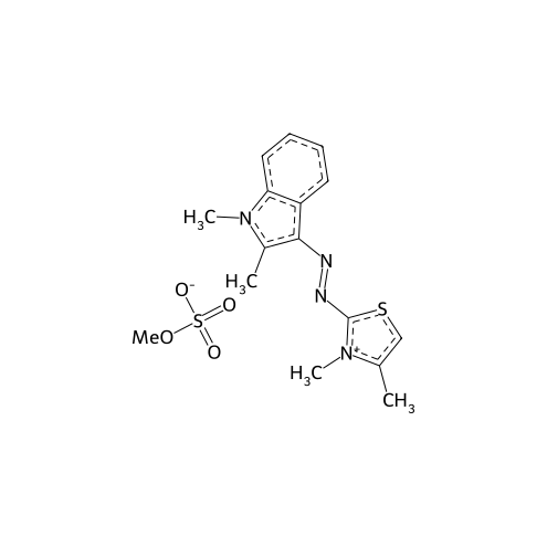 COS(=O)(=O)[O-].Cc1c(N=Nc2scc(C)[n+]2C)c2ccccc2n1C